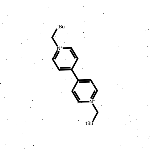 CC(C)(C)C[n+]1ccc(-c2cc[n+](CC(C)(C)C)cc2)cc1